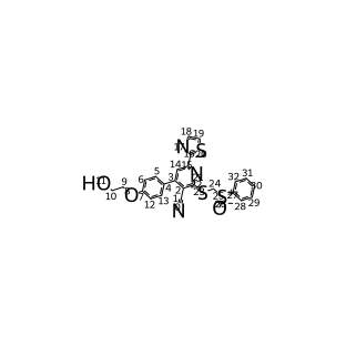 N#Cc1c(-c2ccc(OCCO)cc2)cc(-c2nccs2)nc1SC[S+]([O-])c1ccccc1